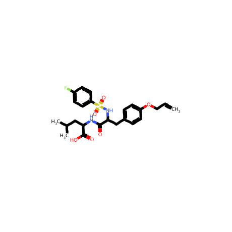 C=CCOc1ccc(CC(NS(=O)(=O)c2ccc(F)cc2)C(=O)NC(CC(C)C)C(=O)O)cc1